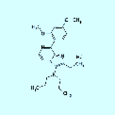 CCCN(CCC)c1c(CC)nc2c(-c3ccc(OC)cc3OC)nccn12.Cl